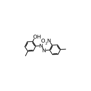 Cc1ccc(O)c(N=Nc2ccc(C)cc2[N+](=O)[O-])c1